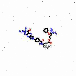 Nc1nc2ncc(CNc3ccc(C(=O)NC(CCC(=O)OCCCC(N)(N)Oc4ccccc4)C(=O)O)cc3)nc2c(=O)[nH]1